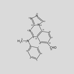 CN(c1ccccc1)c1nc2nncn2c2ccc(C=O)cc12